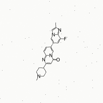 Cc1cn2cc(-c3ccc4nc(C5CCN(C)CC5)cc(=O)n4c3)cc(F)c2n1